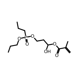 C=C(C)C(=O)OC(O)CCOP(=O)(CCC)OCCC